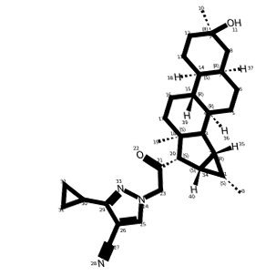 C[C@H]1[C@H]2C3[C@@H]4CC[C@@H]5C[C@](C)(O)CC[C@@H]5[C@H]4CC[C@]3(C)[C@@H](C(=O)Cn3cc(C#N)c(C4CC4)n3)[C@@H]12